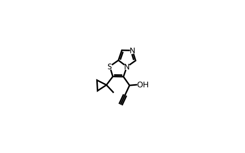 C#CC(O)c1c(C2(C)CC2)sc2cncn12